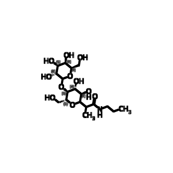 CCCNC(=O)C(C)C1O[C@H](CO)[C@@H](OC2O[C@H](CO)[C@H](O)[C@H](O)[C@H]2O)[C@H](O)[C@H]1O